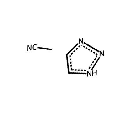 CC#N.c1c[nH]nn1